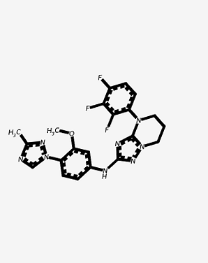 COc1cc(Nc2nc3n(n2)CCCN3c2ccc(F)c(F)c2F)ccc1-n1cnc(C)n1